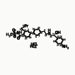 CC(C)Sc1cc(-c2ccc(CCNC[C@H](O)c3ccc(N)cc3)cc2)ccc1C(=O)NS(C)(=O)=O.Cl.Cl